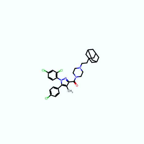 Cc1c(C(=O)N2CCN(CCC34CC5CC(CC(C5)C3)C4)CC2)nn(-c2ccc(Cl)cc2Cl)c1-c1ccc(Cl)cc1